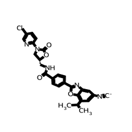 [C-]#[N+]c1cc(C(C)C)c2oc(-c3ccc(C(=O)NC[C@@H]4CN(c5ccc(Cl)cn5)C(=O)O4)cc3)nc2c1